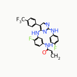 C=CC(=O)Nc1ccc(F)c(Nc2nc(Nc3ccc(F)cc3)ncc2-c2ccc(C(F)(F)F)cc2)c1